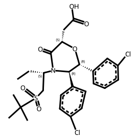 CC[C@@H](CS(=O)(=O)C(C)(C)C)N1C(=O)[C@H](CC(=O)O)O[C@H](c2cccc(Cl)c2)[C@H]1c1ccc(Cl)cc1